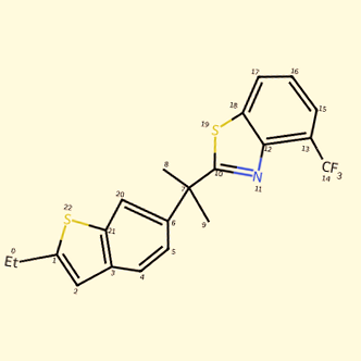 CCc1cc2ccc(C(C)(C)c3nc4c(C(F)(F)F)cccc4s3)cc2s1